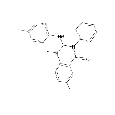 Cc1ccc(NC2N(C)c3ccc(F)cc3C(=O)N2C2C=CC=CC2)nc1